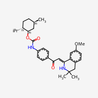 COc1ccc2c(c1)C(=CC(=O)c1ccc(NC(=O)O[C@@H]3C[C@H](C)CC[C@H]3C(C)C)cc1)NC(C)(C)C2